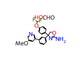 COc1cncc(-c2cccc(C3(c4ccc(OC(F)F)cc4)COC(N)=N3)c2)c1.O=CO